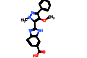 COc1c(-c2ccccc2)nn(C)c1-c1nc2ccc(C(=O)O)cc2[nH]1